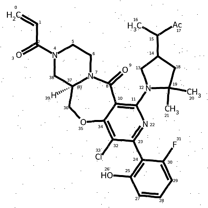 C=CC(=O)N1CCN2C(=O)c3c(N4CC(C(C)C(C)=O)CC4(C)C)nc(-c4c(O)cccc4F)c(Cl)c3OC[C@H]2C1